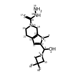 Cn1c(C(O)N2CC(F)(F)C2)cc2c1CN(C(=S)NN)CC2